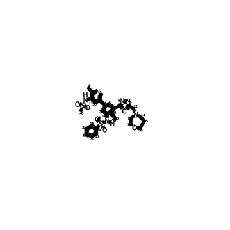 Cc1ncc(-c2cc(-c3nnc(CN4CCCOCC4)o3)c3cnn(S(=O)(=O)c4ccccc4)c3c2)cc1NS(C)(=O)=O